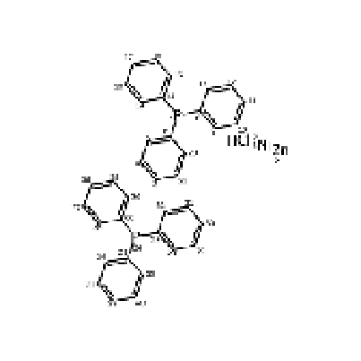 Cl.[Ni].[Zn].c1ccc(P(c2ccccc2)c2ccccc2)cc1.c1ccc(P(c2ccccc2)c2ccccc2)cc1